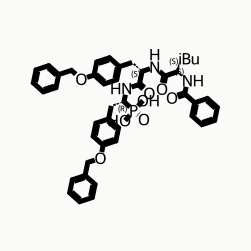 CC[C@H](C)[C@H](NC(=O)c1ccccc1)C(=O)N[C@@H](Cc1ccc(OCc2ccccc2)cc1)C(=O)N[C@@H](Cc1ccc(OCc2ccccc2)cc1)P(=O)(O)O